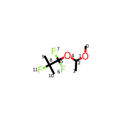 COC(C)OC(F)(F)C(C)(C)F